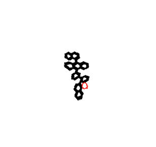 c1cc(-c2c3ccccc3c(-c3cccc4ccccc34)c3ccccc23)cc(-c2cccc3oc4c5ccccc5ccc4c23)c1